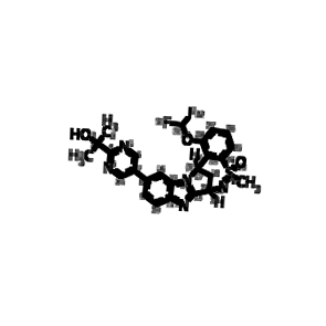 CC(C)(O)c1ncc(-c2ccc3nc4n(c3c2)[C@H]2C[C@@H]4N=[S@@](C)(=O)c3cccc(OC(F)F)c32)cn1